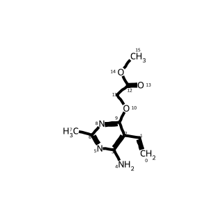 C=Cc1c(N)nc(C)nc1OCC(=O)OC